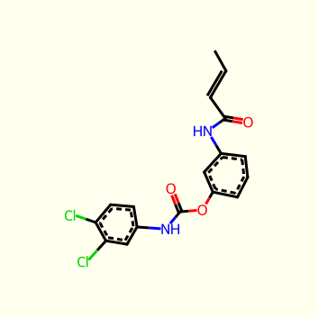 CC=CC(=O)Nc1cccc(OC(=O)Nc2ccc(Cl)c(Cl)c2)c1